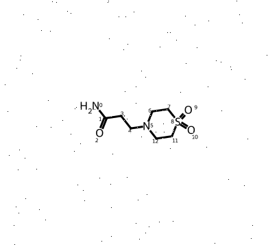 NC(=O)[CH]CN1CCS(=O)(=O)CC1